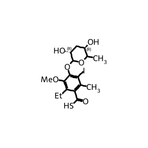 CCc1c(OC)c(OC2OC(C)[C@H](O)C[C@H]2O)c(I)c(C)c1C(=O)S